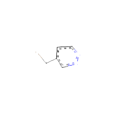 BrCc1ccnnc1